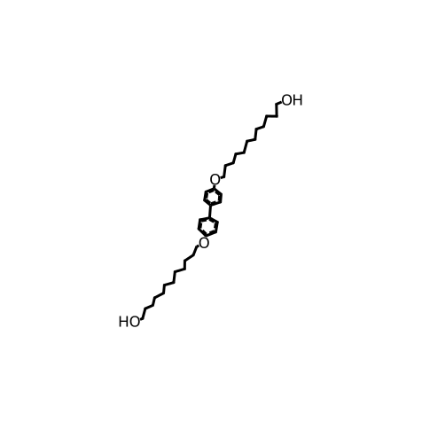 OCCCCCCCCCCCCOc1ccc(-c2ccc(OCCCCCCCCCCCCO)cc2)cc1